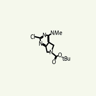 CNc1nc(Cl)nc2c1CN(C(=O)OC(C)(C)C)C2